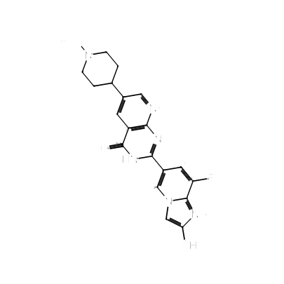 Cc1cn2cc(-c3nc4ncc(C5CCN(C)CC5)cc4c(=O)[nH]3)cc(F)c2n1